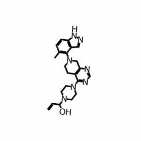 C=CC(O)N1CCN(c2ncnc3c2CCN(c2c(C)ccc4[nH]ncc24)C3)CC1